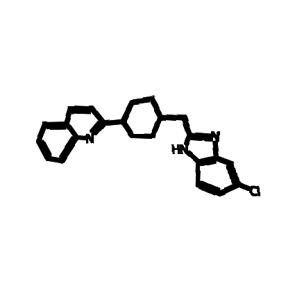 Clc1ccc2[nH]c(CC3CCC(c4ccc5ccccc5n4)CC3)nc2c1